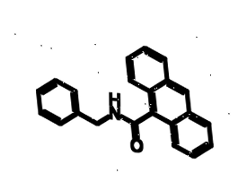 O=C(NCc1ccccc1)c1c2ccccc2cc2ccccc12